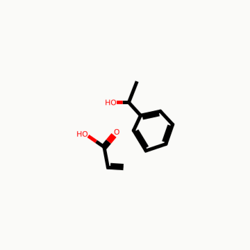 C=CC(=O)O.CC(O)c1ccccc1